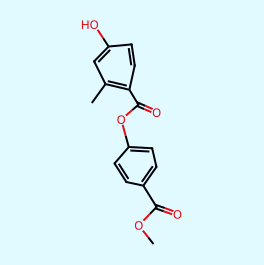 COC(=O)c1ccc(OC(=O)c2ccc(O)cc2C)cc1